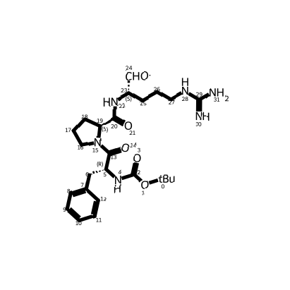 CC(C)(C)OC(=O)N[C@H](Cc1ccccc1)C(=O)N1CCC[C@H]1C(=O)N[C@H]([C]=O)CCCNC(=N)N